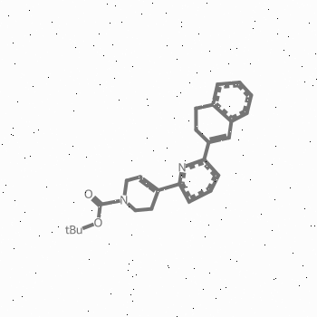 CC(C)(C)OC(=O)N1CC=C(c2cccc(C3=Cc4ccccc4CC3)n2)CC1